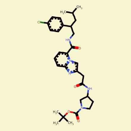 CC(C)CC(CNC(=O)c1cccc2nc(CC(=O)NC3CCN(C(=O)OC(C)(C)C)C3)cn12)c1ccc(Cl)cc1